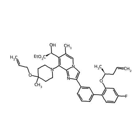 C=CCOC1(C)CCN(c2c([C@H](O)C(=O)OCC)c(C)cn3cc(-c4cccc(-c5ccc(F)cc5O[C@@H](C)CC=C)c4)nc23)CC1